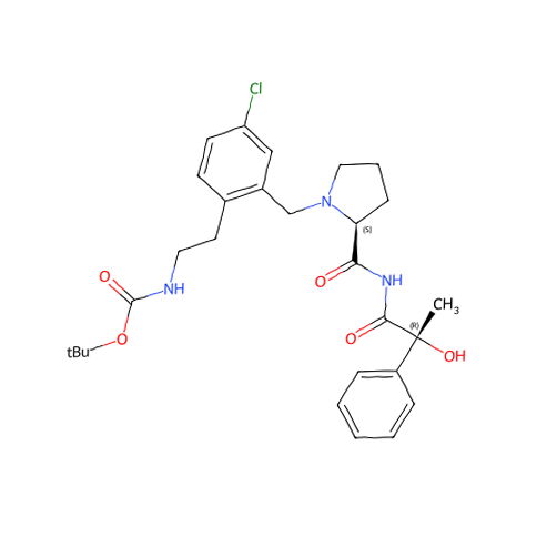 CC(C)(C)OC(=O)NCCc1ccc(Cl)cc1CN1CCC[C@H]1C(=O)NC(=O)[C@](C)(O)c1ccccc1